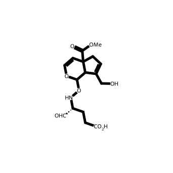 COC(=O)C12C=COC(ON[C@@H](C=O)CCC(=O)O)C1C(CO)=CC2